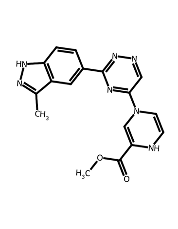 COC(=O)C1=CN(c2cnnc(-c3ccc4[nH]nc(C)c4c3)n2)C=CN1